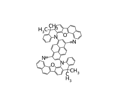 CC1(C)c2ccccc2N(c2cc(C#N)c3ccc4c(N5c6ccccc6C(C)(C)c6ccc7c(oc8c9ccccc9ccc78)c65)cc(C#N)c5ccc2c3c54)c2c1ccc1c2oc2c3ccccc3ccc12